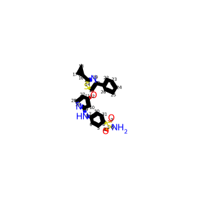 NS(=O)(=O)c1ccc(Nc2cc(Oc3sc(C4CC4)nc3-c3ccccc3)ccn2)cc1